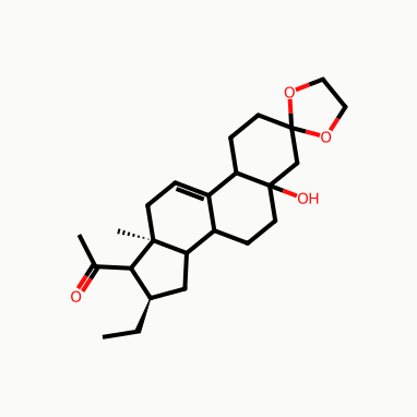 CC[C@@H]1CC2C3CCC4(O)CC5(CCC4C3=CC[C@]2(C)C1C(C)=O)OCCO5